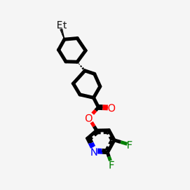 CC[C@H]1CC[C@H](C2CCC(C(=O)Oc3cnc(F)c(F)c3)CC2)CC1